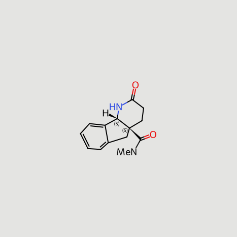 CNC(=O)[C@]12CCC(=O)N[C@H]1c1ccccc1C2